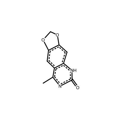 Cc1nc(=O)[nH]c2cc3c(cc12)OCO3